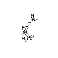 CC1(C(=O)N2CC[C@@H](CN3C(=O)C4(CC4)N=C3C3C=CC(C4=CC=C(C5CNNC5)CC4)=CC3F)C2)CC1